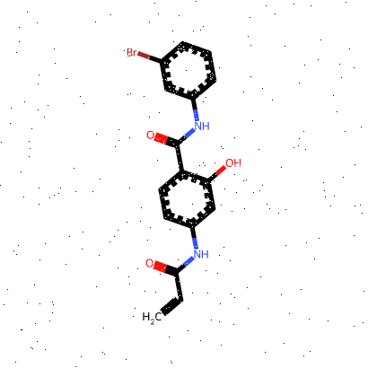 C=CC(=O)Nc1ccc(C(=O)Nc2cccc(Br)c2)c(O)c1